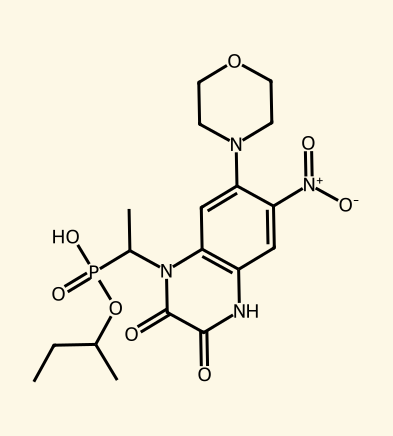 CCC(C)OP(=O)(O)C(C)n1c(=O)c(=O)[nH]c2cc([N+](=O)[O-])c(N3CCOCC3)cc21